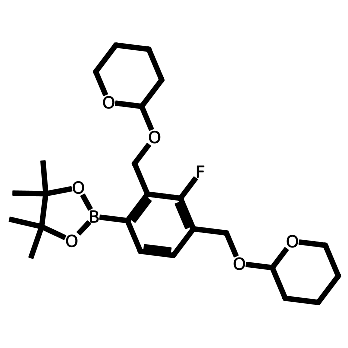 CC1(C)OB(c2ccc(COC3CCCCO3)c(F)c2COC2CCCCO2)OC1(C)C